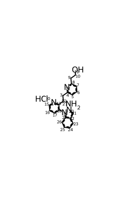 Cl.N[C@@H](Cc1cccc(CCO)n1)c1ncccc1-n1ncc2ccccc21